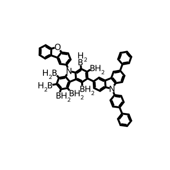 Bc1c(B)c(B)c2c(c1B)c1c(B)c(-c3ccc4c(c3)c3cc(-c5ccccc5)ccc3n4-c3ccc(-c4ccccc4)cc3)c(B)c(B)c1n2-c1ccc2oc3ccccc3c2c1